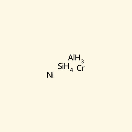 [AlH3].[Cr].[Ni].[SiH4]